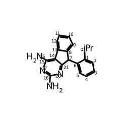 CC(C)c1ccccc1C1c2ccccc2-c2c(N)nc(N)nc21